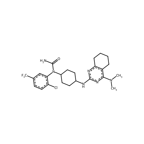 CN(C)c1nc(NC2CCC(N(C(N)=O)c3cc(C(F)(F)F)ccc3Cl)CC2)nc2c1CCCC2